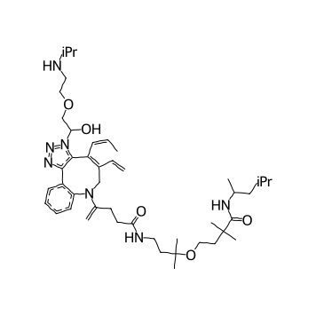 C=C/C1=C(\C=C/C)c2c(nnn2C(O)COCCNC(C)C)-c2ccccc2N(C(=C)CCC(=O)NCCC(C)(C)OCCC(C)(C)C(=O)NC(C)CC(C)C)C1